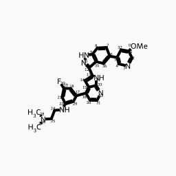 COc1cncc(-c2ccc3[nH]nc(-c4cc5c(-c6cc(F)cc(NCCN(C)C)c6)ccnc5[nH]4)c3c2)c1